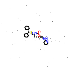 CCOC(=O)C(CSC(c1ccccc1)c1ccccc1)NC(=O)OCCNc1ccccn1